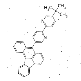 CC(C)(C)c1ccc(-c2ccc(-c3c4ccccc4c4c5c(cccc35)-c3ccccc3-4)cn2)nc1